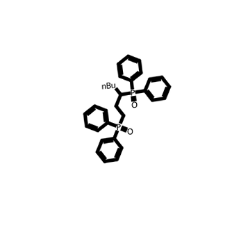 CCCCC(CCP(=O)(c1ccccc1)c1ccccc1)P(=O)(c1ccccc1)c1ccccc1